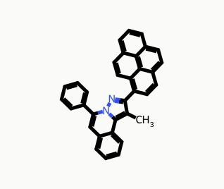 Cc1c(-c2ccc3ccc4cccc5ccc2c3c45)nn2c(-c3ccccc3)cc3ccccc3c12